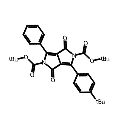 CC(C)(C)OC(=O)N1C(=O)C2=C(c3ccc(C(C)(C)C)cc3)N(C(=O)OC(C)(C)C)C(=O)C2=C1c1ccccc1